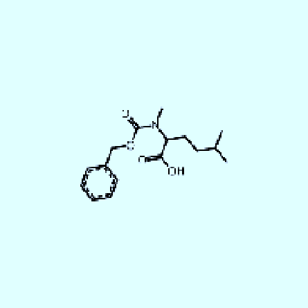 CC(C)CCC(C(=O)O)N(C)C(=O)OCc1ccccc1